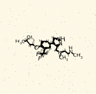 CNCCN(C)Cc1n[nH]cc1-c1ccc(OCCC(C)C)c(C(F)(F)F)c1